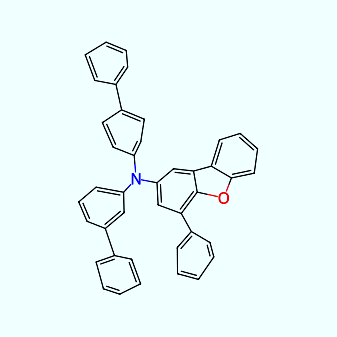 c1ccc(-c2ccc(N(c3cccc(-c4ccccc4)c3)c3cc(-c4ccccc4)c4oc5ccccc5c4c3)cc2)cc1